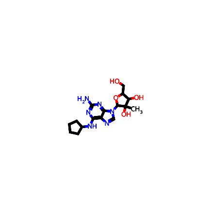 CC1(O)C(O)C(CO)OC1n1cnc2c(NC3CCCC3)nc(N)nc21